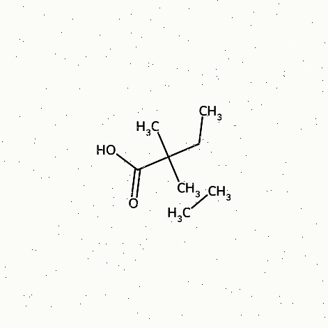 CC.CCC(C)(C)C(=O)O